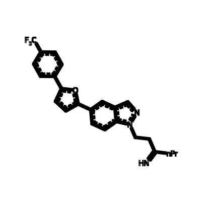 CCCC(=N)CCn1ncc2cc(-c3ccc(-c4ccc(C(F)(F)F)cc4)o3)ccc21